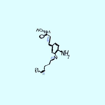 CC/C=C\CC/C=N/c1cc(/C=C/C(=O)NO)ccc1N